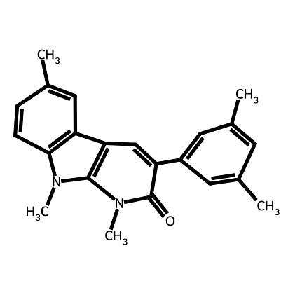 Cc1cc(C)cc(-c2cc3c4cc(C)ccc4n(C)c3n(C)c2=O)c1